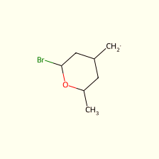 [CH2]C1CC(C)OC(Br)C1